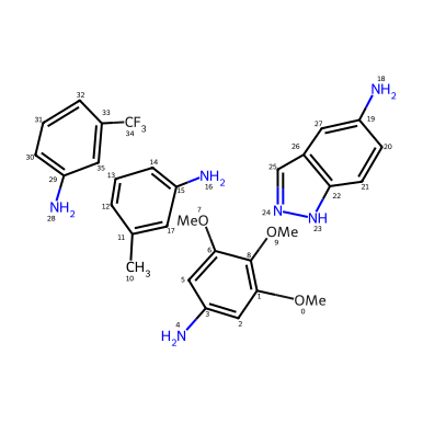 COc1cc(N)cc(OC)c1OC.Cc1cccc(N)c1.Nc1ccc2[nH]ncc2c1.Nc1cccc(C(F)(F)F)c1